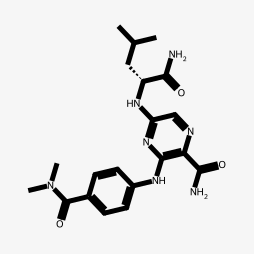 CC(C)C[C@@H](Nc1cnc(C(N)=O)c(Nc2ccc(C(=O)N(C)C)cc2)n1)C(N)=O